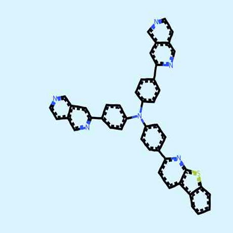 c1ccc2c(c1)sc1nc(-c3ccc(N(c4ccc(-c5cc6cnccc6cn5)cc4)c4ccc(-c5cc6cnccc6cn5)cc4)cc3)ccc12